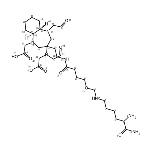 NC(=O)C(N)CCCCNCOCCCC(=O)NCCC1(N(CC=O)CC(=O)O)CN(CC=O)[C@H]2CCCC[C@@H]2N(CC(=O)O)C1